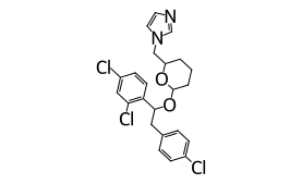 Clc1ccc(CC(OC2CCCC(Cn3ccnc3)O2)c2ccc(Cl)cc2Cl)cc1